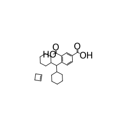 C1=CCC1.O=C(O)c1ccc(C(C2CCCCC2)C2CCCCC2)c(C(=O)O)c1